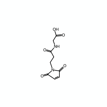 O=C(O)CNC(=O)CCN1C(=O)C=CC1=O